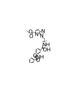 CCOC(=O)c1ccc2ncn(CCC(C)(C)NC[C@@H](O)c3cccc(NS(=O)(=O)c4ccccc4)c3)c2n1